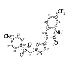 O=c1[nH]c2cc(C(F)(F)F)ccc2cc1-c1csc(CS(=O)(=O)c2ccc(Cl)cc2)n1